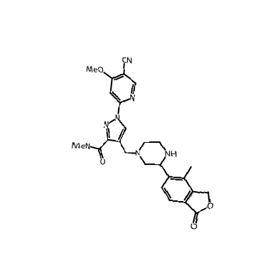 CNC(=O)c1nn(-c2cc(OC)c(C#N)cn2)cc1CN1CCNC(c2ccc3c(c2C)COC3=O)C1